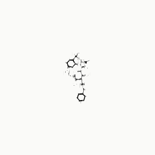 Cc1nc([C@@H]2O[C@H](CO)[C@H](O)[C@H](NN=Cc3ccccc3)[C@H]2O)n(-c2cc(Cl)ccc2C(F)(F)F)n1